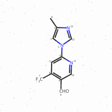 Cc1cn(-c2cc(C(F)(F)F)c(C=O)cn2)cn1